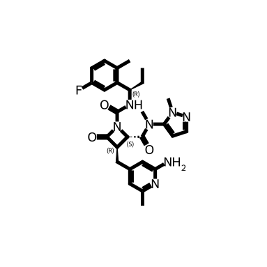 CC[C@@H](NC(=O)N1C(=O)[C@H](Cc2cc(C)nc(N)c2)[C@H]1C(=O)N(C)c1ccnn1C)c1cc(F)ccc1C